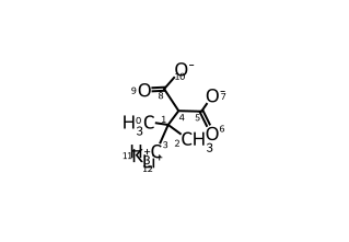 CC(C)(C)C(C(=O)[O-])C(=O)[O-].[K+].[Li+]